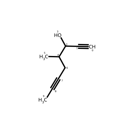 C#CC(O)C(C)CC#CC